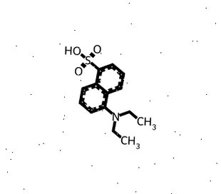 CCN(CC)c1cccc2c(S(=O)(=O)O)cccc12